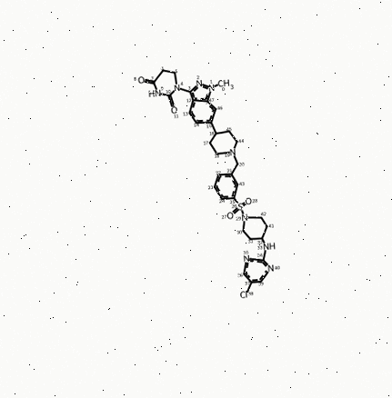 Cn1nc(N2CCC(=O)NC2=O)c2ccc(C3CCN(Cc4cccc(S(=O)(=O)N5CCC(Nc6ncc(Cl)cn6)CC5)c4)CC3)cc21